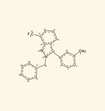 CC(=O)Oc1cccc(-c2c3cccc(C(F)(F)F)c3nn2Cc2ccccc2)c1